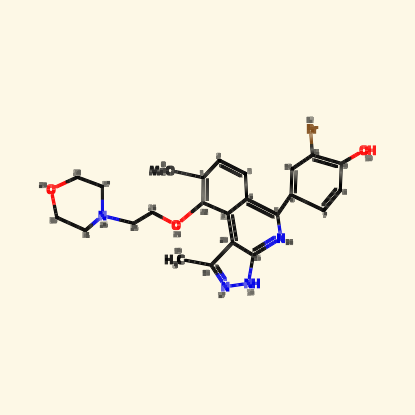 COc1ccc2c(-c3ccc(O)c(Br)c3)nc3[nH]nc(C)c3c2c1OCCN1CCOCC1